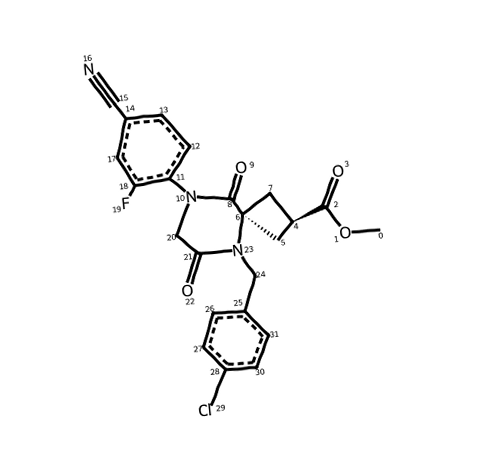 COC(=O)[C@H]1C[C@@]2(C1)C(=O)N(c1ccc(C#N)cc1F)CC(=O)N2Cc1ccc(Cl)cc1